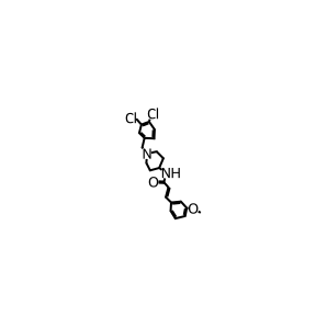 COc1cccc(/C=C/C(=O)NC2CCN(Cc3ccc(Cl)c(Cl)c3)CC2)c1